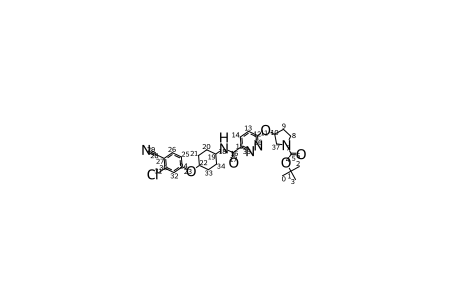 CC(C)(C)OC(=O)N1CC[C@H](Oc2ccc(C(=O)NC3CCC(Oc4ccc(C#N)c(Cl)c4)CC3)nn2)C1